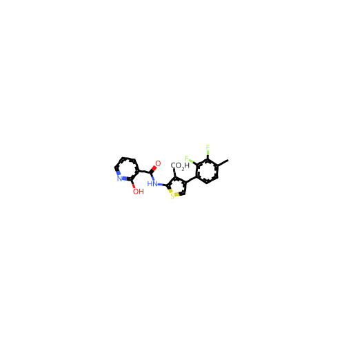 Cc1ccc(-c2csc(NC(=O)c3cccnc3O)c2C(=O)O)c(F)c1F